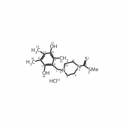 CSC(=S)N1CCN(Cc2c(C)c(O)c(C)c(C)c2O)CC1.Cl